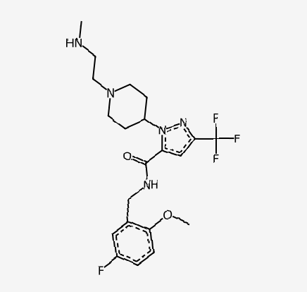 CNCCN1CCC(n2nc(C(F)(F)F)cc2C(=O)NCc2cc(F)ccc2OC)CC1